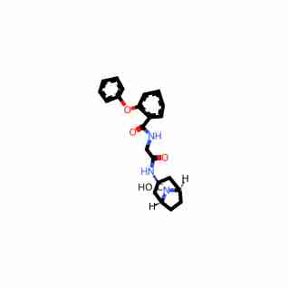 O=C(CNC(=O)c1ccccc1Oc1ccccc1)N[C@H]1C[C@H]2CC[C@@H](C1)N2C(=O)O